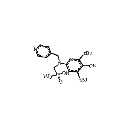 CC(C)(C)c1cc(N(Cc2ccncc2)CP(=O)(O)O)cc(C(C)(C)C)c1O